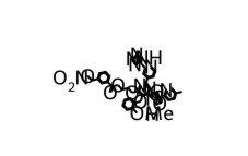 COc1ccccc1Oc1c(NS(=O)(=O)c2ccc(C)cn2)nc(-c2ccnc(-c3nnn[nH]3)c2)nc1OCCOC(=O)c1cccc(CO[N+](=O)[O-])c1